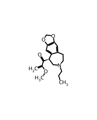 C=C(OC)C(=O)[C@@H]1CN(CCC)CCc2cc3c(cc21)OCO3